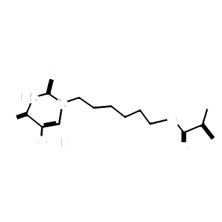 C=C(C)C(=O)OCCCCCCn1cc(C(=O)O)c(=O)[nH]c1=S